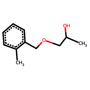 Cc1ccccc1COCC(C)O